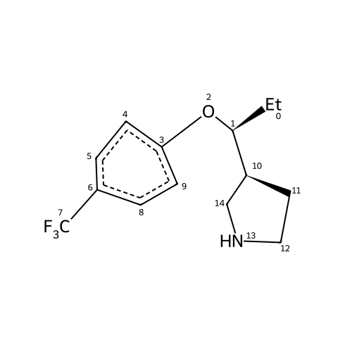 CC[C@H](Oc1ccc(C(F)(F)F)cc1)[C@H]1CCNC1